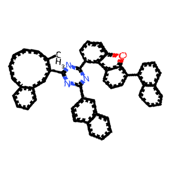 Cc1cccccc2ccccc2cc1-c1nc(-c2ccc3ccccc3c2)nc(-c2cccc3oc4c(-c5cccc6ccccc56)cccc4c23)n1